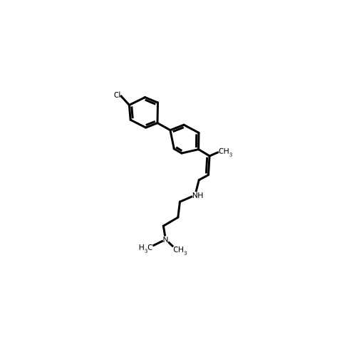 C/C(=C/CNCCCN(C)C)c1ccc(-c2ccc(Cl)cc2)cc1